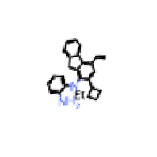 C=Cc1cc(C2CCC2)c(N(CC)c2ccccc2N)c2c1-c1ccccc1C2